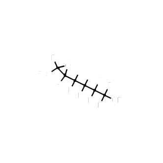 FC(F)(F)C(F)(F)C(F)(F)C(F)(F)C(F)(F)C1(F)OC1(F)C(F)(F)F